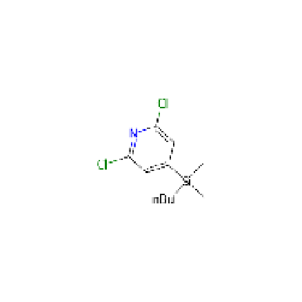 CCCC[Si](C)(C)c1cc(Cl)nc(Cl)c1